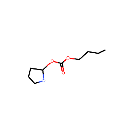 CCCCOC(=O)OC1CCC[N]1